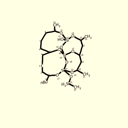 CCCCC1CCCC2CCCC(C)O[Si]3(O)OC(C)CC4CC(C)O[Si](O[SiH2]C)(O1)O[Si](O2)(O4)O3